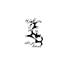 CSCC1=C(C(=O)O)N2C(=O)C(NC(=O)C(C#N)S(C)(=O)=O)[C@@H]2SC1